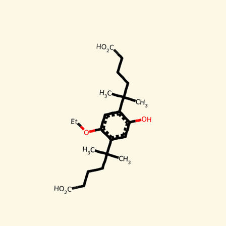 CCOc1cc(C(C)(C)CCCC(=O)O)c(O)cc1C(C)(C)CCCC(=O)O